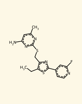 CCc1sc(-c2ccnc(F)c2)nc1CSc1nc(C)cc(N)n1